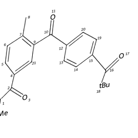 CONC(=O)c1ccc(C)c(C(=O)c2ccc(C(=O)C(C)(C)C)cc2)c1